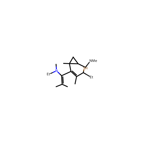 CCC(S)/C(C)=C(/C(=C(C)C)N(C)CC)C1(C)CC1CNC